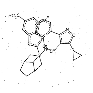 O=C(O)c1cc(F)c2nc(SC3C4CCC3CC(NCc3c(-c5ccccc5OC(F)(F)F)noc3C3CC3)C4)sc2c1